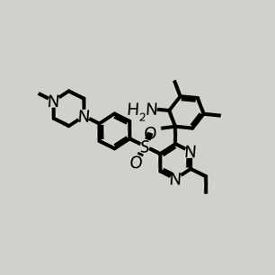 CCc1ncc(S(=O)(=O)c2ccc(N3CCN(C)CC3)cc2)c(C2(C)C=C(C)C=C(C)C2N)n1